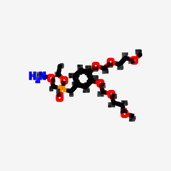 CCOP(=O)(CON)Cc1ccc(OCOCCOC)c(OCOCCOC)c1